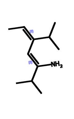 C/C=C(\C=C(/N)C(C)C)C(C)C